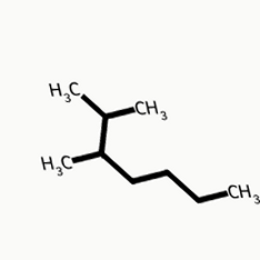 CCCC[C](C)C(C)C